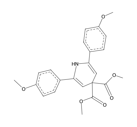 COC(=O)C1(C(=O)OC)C=C(c2ccc(OC)cc2)NC(c2ccc(OC)cc2)=C1